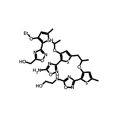 CCOC1=C(c2noc(CO)n2)[SH](C(C)Oc2cc(CC(C)Oc3cc(C)sc3-c3noc(NCCO)n3)sc2-c2noc(N)n2)C(C)=C1